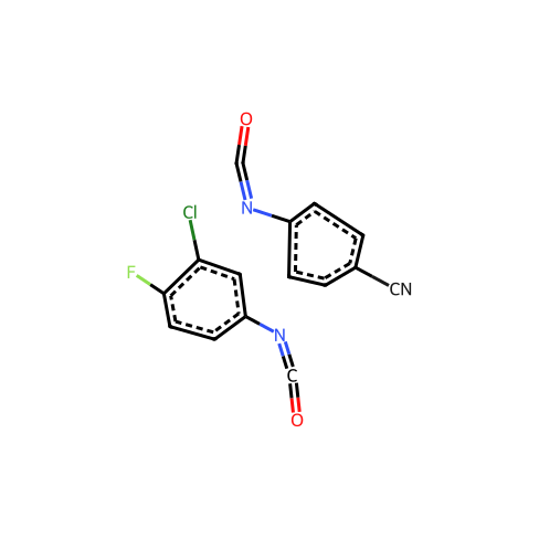 N#Cc1ccc(N=C=O)cc1.O=C=Nc1ccc(F)c(Cl)c1